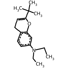 CCN(CC)c1ccc2c(c1)OC(C(C)(C)C)=CC2